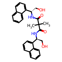 CC(C)(C(=O)N[C@@H](CO)c1cccc2ccccc12)C(=O)N[C@@H](CO)c1cccc2ccccc12